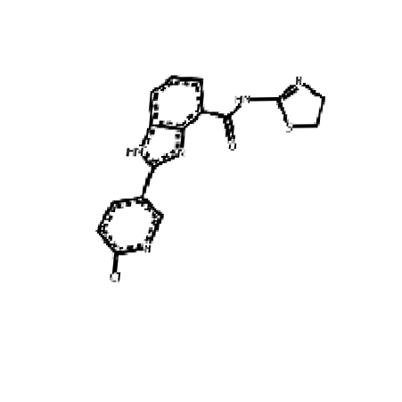 O=C(NC1=NCCS1)c1cccc2[nH]c(-c3ccc(Cl)nc3)nc12